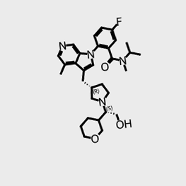 Cc1cncc2c1c(C[C@@H]1CCN([C@H](CO)C3CCCOC3)C1)cn2-c1ccc(F)cc1C(=O)N(C)C(C)C